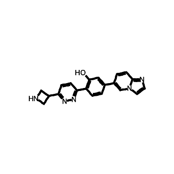 Oc1cc(-c2ccc3nccn3c2)ccc1-c1ccc(C2CNC2)nn1